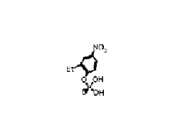 CCc1cc([N+](=O)[O-])ccc1OP(=O)(O)O